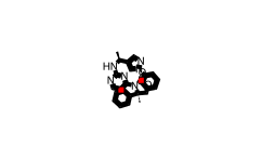 C[C@H](Nc1nccc(N2C(=O)OC[C@@]2(C)c2ccccc2)n1)c1cnn(-c2ccccc2)c1